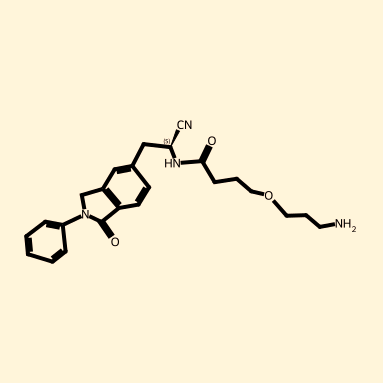 N#C[C@H](Cc1ccc2c(c1)CN(c1ccccc1)C2=O)NC(=O)CCCOCCCN